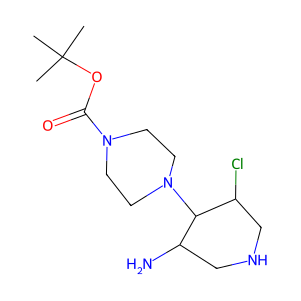 CC(C)(C)OC(=O)N1CCN(C2C(N)CNCC2Cl)CC1